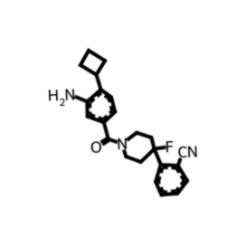 N#Cc1ccccc1C1(F)CCN(C(=O)c2ccc(C3CCC3)c(N)c2)CC1